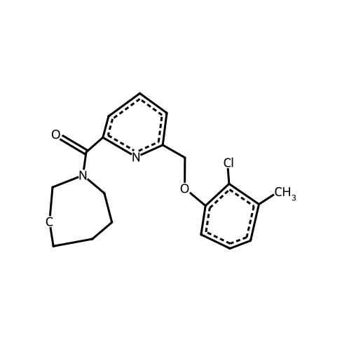 Cc1cccc(OCc2cccc(C(=O)N3CCCCCC3)n2)c1Cl